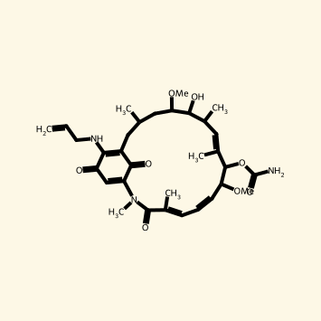 C=CCNC1=C2CC(C)CC(OC)C(O)C(C)/C=C(\C)C(OC(N)=O)C(OC)/C=C\C=C(/C)C(=O)N(C)C(=CC1=O)C2=O